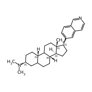 CN(C)[C@H]1CC[C@H]2C(CC[C@@H]3C2CC[C@]2(C)[C@@H](c4ccc5cnccc5c4)CC[C@@H]32)C1